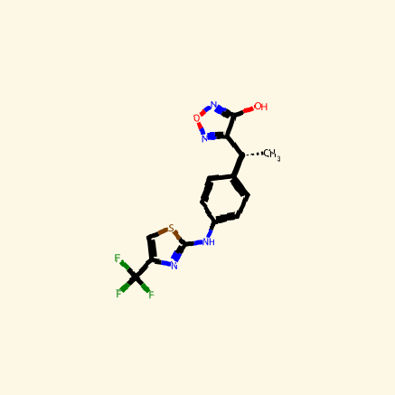 C[C@H](c1ccc(Nc2nc(C(F)(F)F)cs2)cc1)c1nonc1O